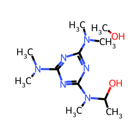 CC(O)N(C)c1nc(N(C)C)nc(N(C)C)n1.CO